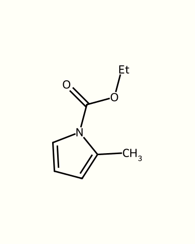 CCOC(=O)n1cccc1C